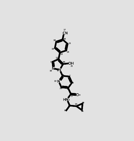 CC(NC(=O)c1ccc(-n2ncc(-c3ccc(C#N)cc3)c2O)nc1)C1CC1